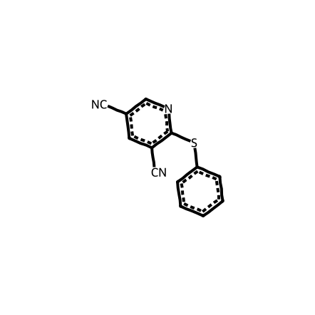 N#Cc1cnc(Sc2ccccc2)c(C#N)c1